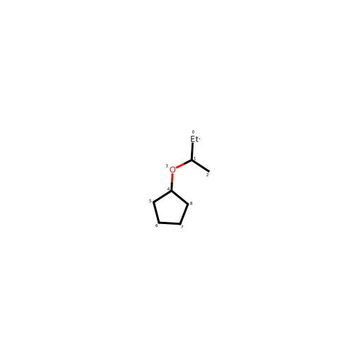 C[CH]C(C)OC1CCCC1